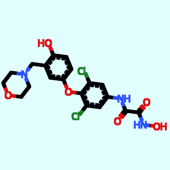 O=C(NO)C(=O)Nc1cc(Cl)c(Oc2ccc(O)c(CN3CCOCC3)c2)c(Cl)c1